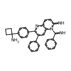 N=C(c1ccccc1)n1c(=N)ccc2nc(-c3ccc(C4(N)CCC4)cc3)c(-c3ccccc3)cc21